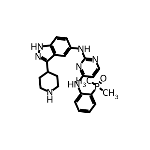 CP(C)(=O)c1ccccc1Nc1ccnc(Nc2ccc3[nH]nc(C4CCNCC4)c3c2)n1